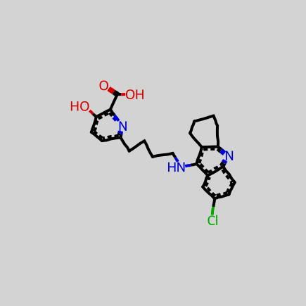 O=C(O)c1nc(CCCCNc2c3c(nc4ccc(Cl)cc24)CCCC3)ccc1O